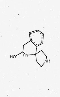 OC1Cc2ccccc2C2(CCNCC2)N1